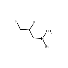 CCN(C)CC(F)CF